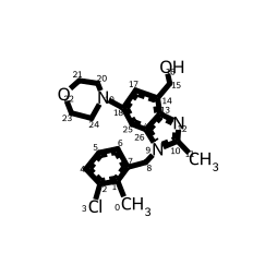 Cc1c(Cl)cccc1Cn1c(C)nc2c(CO)cc(N3CCOCC3)cc21